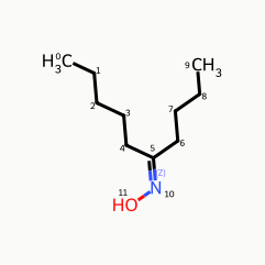 CCCCC/C(CCCC)=N\O